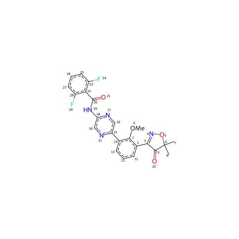 COc1c(C2=NOC(C)(C)C2=O)cccc1-c1cnc(NC(=O)c2c(F)cccc2F)cn1